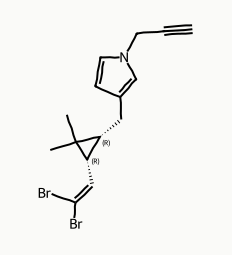 C#CCn1ccc(C[C@@H]2[C@H](C=C(Br)Br)C2(C)C)c1